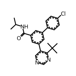 CC(C)NC(=O)c1cc(-c2ccc(Cl)cc2)cc(-c2cncnc2C(C)(C)C)c1